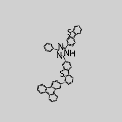 c1ccc(C2=NC(c3ccc4c(c3)sc3c(-c5ccc6c7ccccc7c7ccccc7c6c5)cccc34)NC(c3ccc4c(c3)sc3ccccc34)=N2)cc1